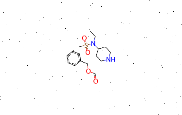 CCN(C1CCNCC1)S(C)(=O)=O.O=COCc1ccccc1